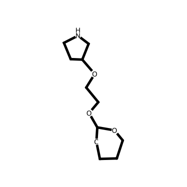 C1CCC(OCCOC2CCNC2)OC1